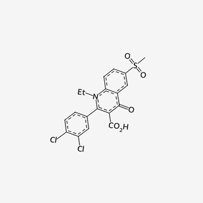 CCn1c(-c2ccc(Cl)c(Cl)c2)c(C(=O)O)c(=O)c2cc(S(C)(=O)=O)ccc21